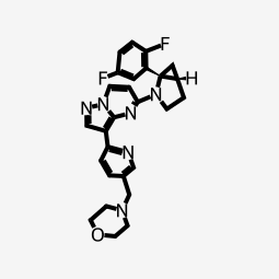 Fc1ccc(F)c([C@@]23C[C@@H]2CCN3c2ccn3ncc(-c4ccc(CN5CCOCC5)cn4)c3n2)c1